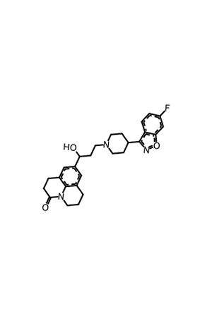 O=C1CCc2cc(C(O)CCN3CCC(c4noc5cc(F)ccc45)CC3)cc3c2N1CCC3